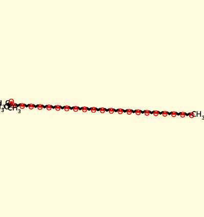 COCCCOCCCOCCCOCCCOCCCOCCCOCCCOCCCOCCCOCCCOCCCOCCCOCCCOCCCOCCCOCCCOCCCOCCCOCCCOCCCOC(=O)C(C)(C)C